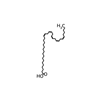 CCCCC/C=C\C/C=C\C/C=C\C/C=C\C/C=C\CCCCCCCCCCCCCCCCC(=O)O